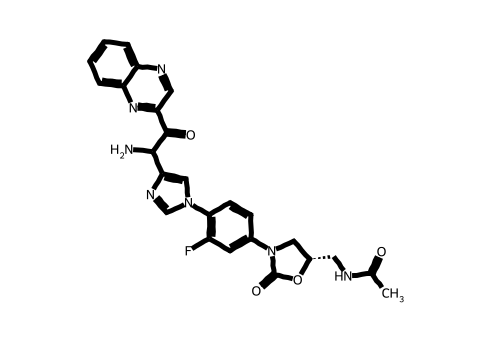 CC(=O)NC[C@H]1CN(c2ccc(-n3cnc(C(N)C(=O)c4cnc5ccccc5n4)c3)c(F)c2)C(=O)O1